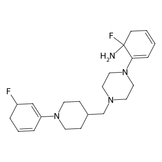 NC1(F)CC=CC=C1N1CCN(CC2CCN(C3=CC(F)CC=C3)CC2)CC1